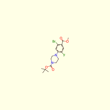 COC(=O)c1cc(F)c(N2CCN(C(=O)OC(C)(C)C)CC2)cc1Br